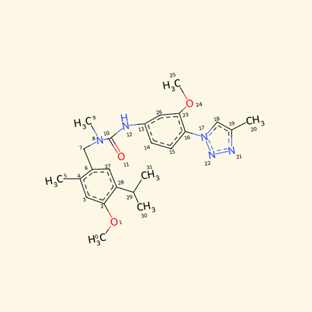 COc1cc(C)c(CN(C)C(=O)Nc2ccc(-n3cc(C)nn3)c(OC)c2)cc1C(C)C